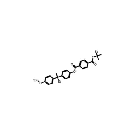 CCC(C)(C)OC(=O)c1ccc(C(=O)Oc2ccc(C(C)(CC)c3ccc(OC(C)(C)C)cc3)cc2)cc1